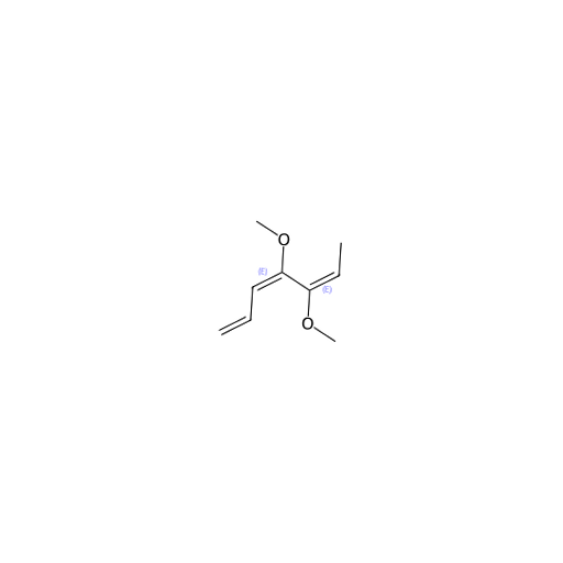 C=C/C=C(OC)\C(=C/C)OC